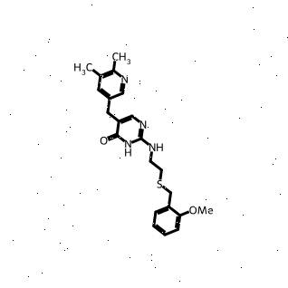 COc1ccccc1CSCCNc1ncc(Cc2cnc(C)c(C)c2)c(=O)[nH]1